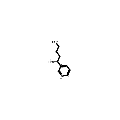 OCCC[C@H](O)c1cccnc1